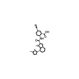 Cc1ccc(-c2cccc3cc(C(=O)Nc4ccc(C#N)cc4C(=O)O)n(C)c23)s1